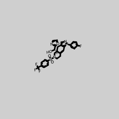 O=S(=O)(c1ccc(C(F)(F)F)cc1)N1CCC2=Cc3c(cnn3-c3ccc(F)cc3)C[C@]2(C(O)c2ncco2)C1